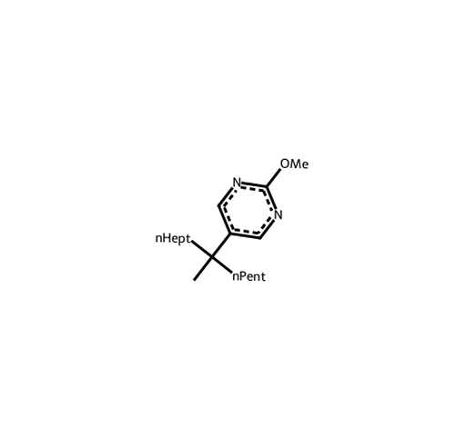 CCCCCCCC(C)(CCCCC)c1cnc(OC)nc1